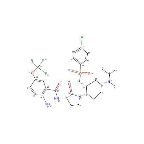 CC(C)N(C)[C@@H]1CC[C@H](N2CC[C@H](NC(=O)c3cc(OC(F)(F)F)ccc3N)C2=O)[C@H](CS(=O)(=O)c2ccc(Cl)cc2)C1